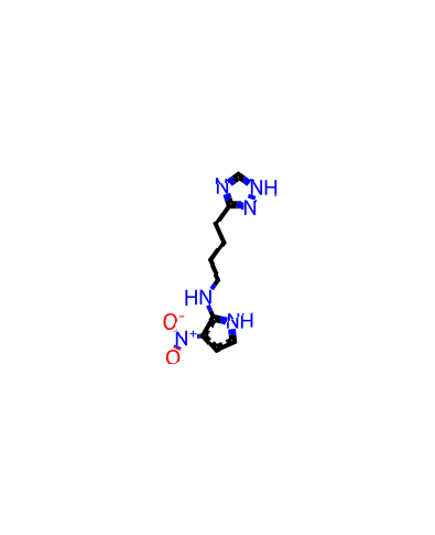 O=[N+]([O-])c1cc[nH]c1NCCCCc1nc[nH]n1